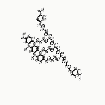 ICc1ccc(COCCOCC(COCC(COCC(COCCOCc2ccc(CI)cc2)OCCOCc2ccc(CI)cc2)OCCOCc2ccc(CI)cc2)OCCOCc2ccc(CI)cc2)cc1